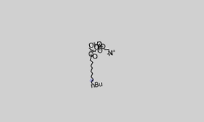 CCCC/C=C/CCCCCCCC(=O)O[C@@H](CO)COP(=O)([O-])OCC[N+](C)(C)C